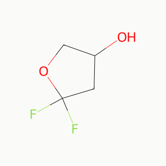 OC1COC(F)(F)C1